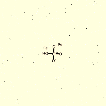 [Fe].[Fe].[O-][Cl+3]([O-])([O-])O